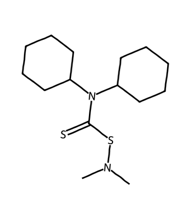 CN(C)SC(=S)N(C1CCCCC1)C1CCCCC1